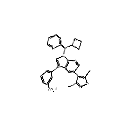 Cc1noc(C)c1-c1cnc2c(c1)c(-c1cccc(C(=O)O)c1)cn2C(c1ccccn1)C1CCC1